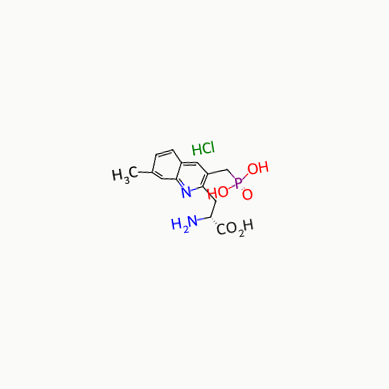 Cc1ccc2cc(CP(=O)(O)O)c(C[C@@H](N)C(=O)O)nc2c1.Cl